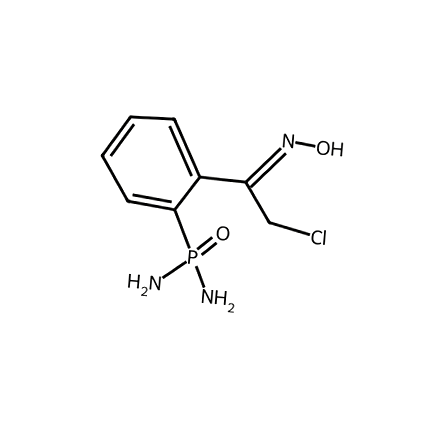 NP(N)(=O)c1ccccc1C(CCl)=NO